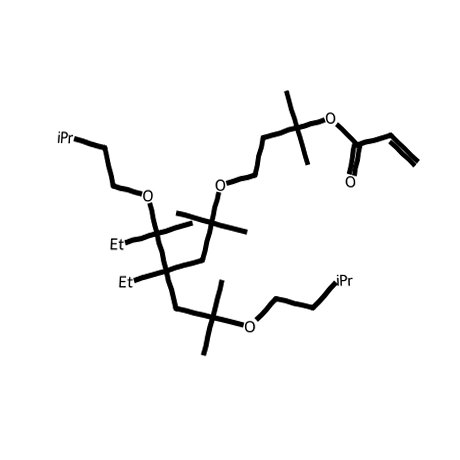 C=CC(=O)OC(C)(C)CCOC(C)(C)CC(CC)(CC(C)(C)OCCC(C)C)C(C)(CC)OCCC(C)C